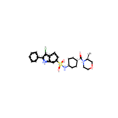 CC(C)[C@H]1COCCN1C(=O)[C@H]1CC[C@H](NS(=O)(=O)c2ccc3c(Cl)c(-c4ccccc4)[nH]c3c2)CC1